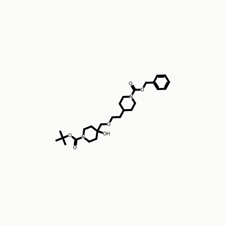 CC(C)(C)OC(=O)N1CCC(O)(COCCC2CCN(C(=O)OCc3ccccc3)CC2)CC1